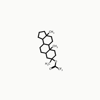 CC1(OC(=O)C(F)(F)F)CCC2(C)C(CCC3C4CCCC4(C)CCC32)C1